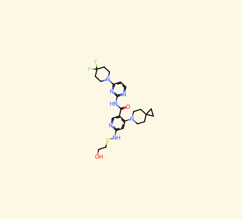 O=C(Nc1nccc(N2CCC(F)(F)CC2)n1)c1cnc(NSCCO)cc1N1CCC2(CC1)CC2